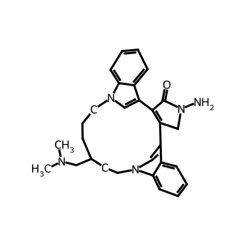 CN(C)CC1CCCn2cc(c3ccccc32)C2=C(CN(N)C2=O)c2cn(c3ccccc23)CC1